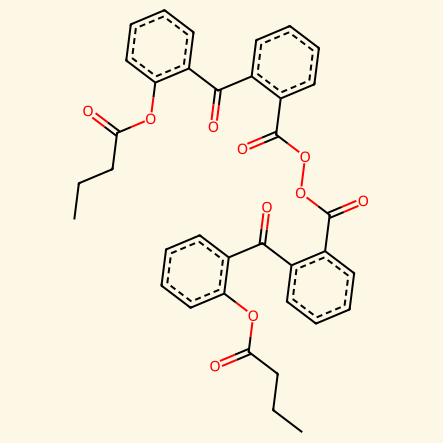 CCCC(=O)Oc1ccccc1C(=O)c1ccccc1C(=O)OOC(=O)c1ccccc1C(=O)c1ccccc1OC(=O)CCC